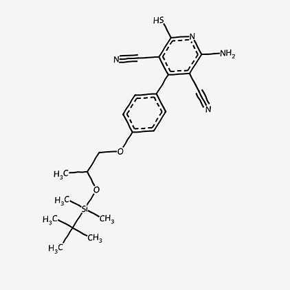 CC(COc1ccc(-c2c(C#N)c(N)nc(S)c2C#N)cc1)O[Si](C)(C)C(C)(C)C